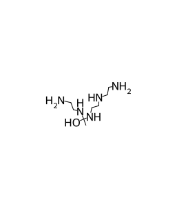 CC(O)(NCCN)NCCNCCN